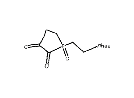 CCCCCCCCP1(=O)CCC(=O)C1=O